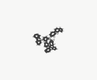 c1ccc(C2(c3ccccc3)c3ccccc3-c3ccc(N(c4ccc(-n5c6ccccc6c6ccccc65)cc4)c4ccc5c(c4)oc4c6ccccc6ccc54)cc32)cc1